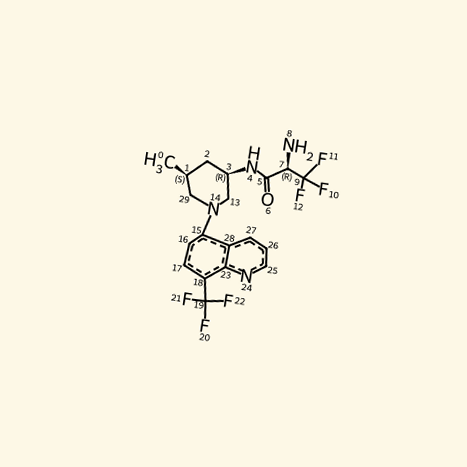 C[C@H]1C[C@@H](NC(=O)[C@@H](N)C(F)(F)F)CN(c2ccc(C(F)(F)F)c3ncccc23)C1